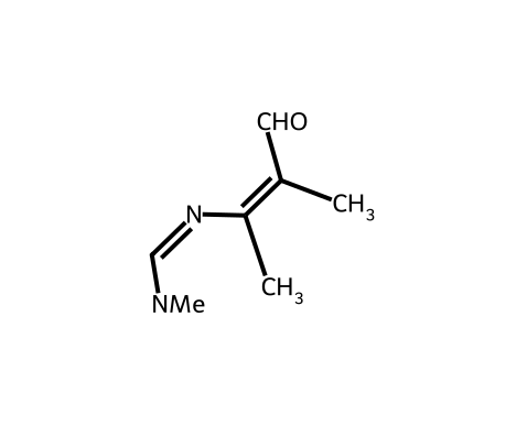 CN/C=N\C(C)=C(\C)C=O